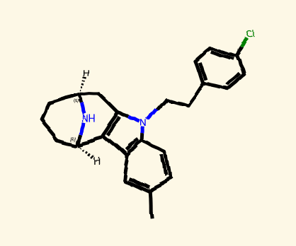 Cc1ccc2c(c1)c1c(n2CCc2ccc(Cl)cc2)C[C@@H]2CCC[C@H]1N2